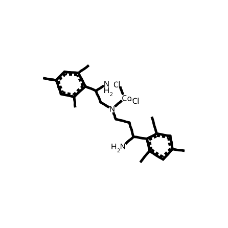 Cc1cc(C)c(C(N)CC[N](CC(N)c2c(C)cc(C)cc2C)[Co]([Cl])[Cl])c(C)c1